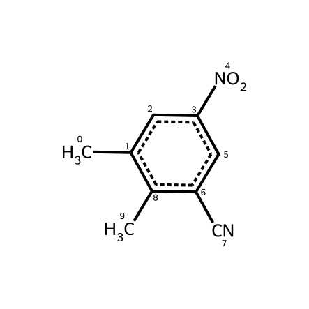 Cc1cc([N+](=O)[O-])cc(C#N)c1C